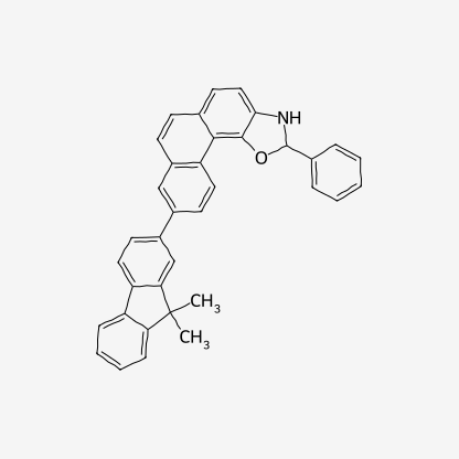 CC1(C)c2ccccc2-c2ccc(-c3ccc4c(ccc5ccc6c(c54)OC(c4ccccc4)N6)c3)cc21